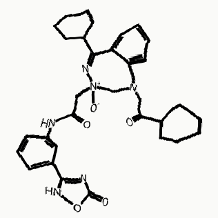 O=C(C[N+]1([O-])CN(CC(=O)C2CCCCC2)c2ccccc2C(C2CCCCC2)=N1)Nc1cccc(-c2nc(=O)o[nH]2)c1